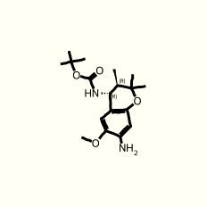 COc1cc2c(cc1N)OC(C)(C)[C@H](C)[C@H]2NC(=O)OC(C)(C)C